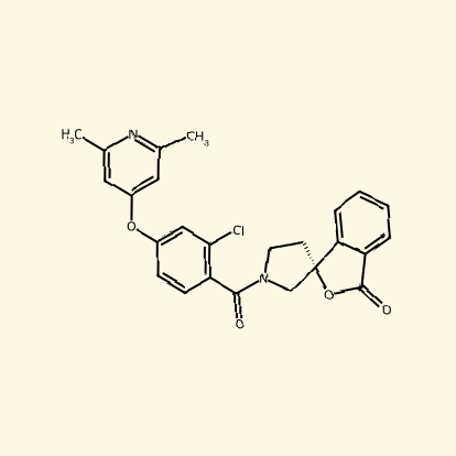 Cc1cc(Oc2ccc(C(=O)N3CC[C@@]4(C3)OC(=O)c3ccccc34)c(Cl)c2)cc(C)n1